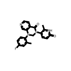 Cc1cc(F)ccc1N1CN(c2ccc(=O)[nH]c2C)C(=O)c2ccncc21